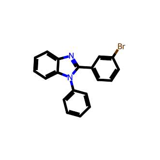 Brc1cccc(-c2nc3ccccc3n2-c2ccccc2)c1